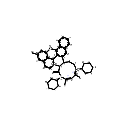 C=C1C2C(CC/[N+](C3CCCCC3)=C(C)\C=C(\C)N1C1CCCCC1)c1cc3ccccc3c3c1-c1c4c(cc(C)cc4cc[n+]12)O3